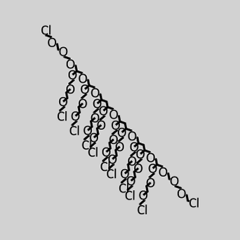 ClCCOCCOCCOCC(COCC(COCC(CC(COCC(CC(COCC(CC(COCC(COCCOCCOCCCl)OCCOCCOCCCl)OCCOCCOCCCl)OCCOCCOCCCl)OCCOCCOCCCl)OCCOCCOCCCl)OCCOCCOCCCl)OCCOCCOCCCl)OCCOCCOCCCl)OCCOCCOCCCl